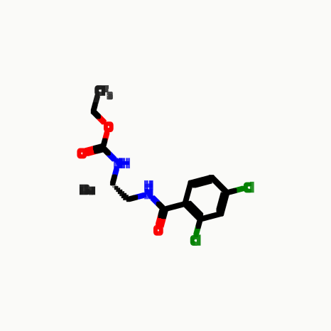 CC[C@H](C)[C@@H](CNC(=O)c1ccc(Cl)cc1Cl)NC(=O)OCC(F)(F)F